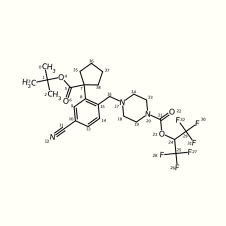 CC(C)(C)OC(=O)C1(c2cc(C#N)ccc2CN2CCN(C(=O)OC(C(F)(F)F)C(F)(F)F)CC2)CCCC1